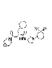 CC(C)[C@@]1(C#N)CCCC(N2CCC(NC(=O)[C@@H](CC(=O)N3CCOCC3)CC3CCCCC3)C2)C1